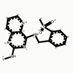 CC(C)Nc1nc(NCc2ccccc2S(C)(=O)=O)c2ncccc2n1